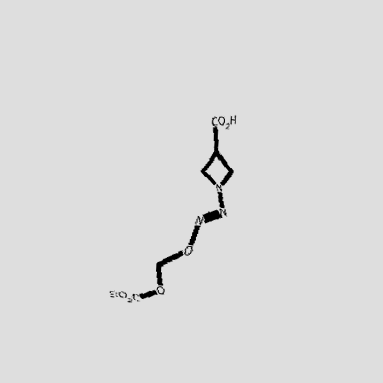 CCOC(=O)OCON=NN1CC(C(=O)O)C1